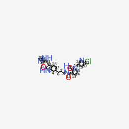 O=C1Nc2cc(/C=C/CNC(=O)c3cccn(Cc4ccc(Cl)nc4)c3=O)ccc2C1=Cc1cnc[nH]1